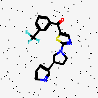 O=C(c1cccc(C(F)(F)F)c1)c1cnc(N2CC[C@@H](c3cccnc3)C2)s1